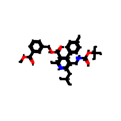 COC(=O)c1cccc(COC(=O)c2c(C)nc(CC(C)C)c(CNC(=O)OC(C)(C)C)c2-c2ccc(C)cc2)c1